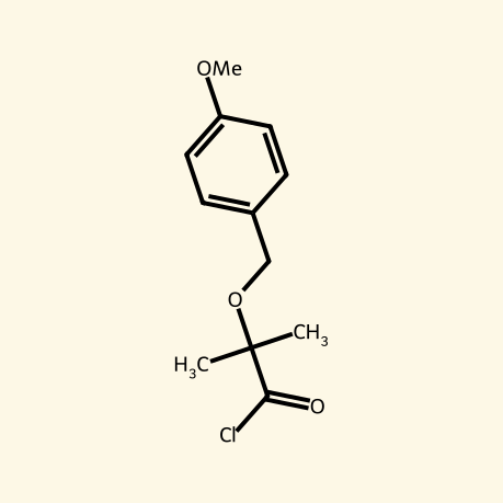 COc1ccc(COC(C)(C)C(=O)Cl)cc1